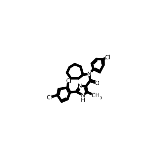 Cc1[nH]c(-c2ccc(Cl)cc2Cl)nc1C(=O)N(c1ccc(Cl)cc1)C1CCCCCC1